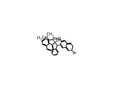 COc1cc2c(cc1[C@@H](c1ccccc1)[C@@](O)(CCN(C)C)c1cccc3ccccc13)=CC(Br)CC=2